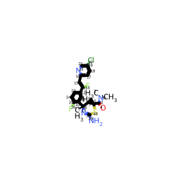 CN(C)C(=O)C12C[C@H]1[C@@](C)(c1cc(/C(F)=C/c3ccc(Cl)cn3)ccc1F)N=C(N)S2